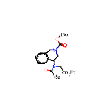 CCOC(=O)CN(C(=O)C(C)(C)C)C1CN(C(=O)OC(C)(C)C)Cc2ccccc21